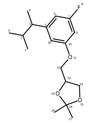 CC(C)C(C)c1cc(F)cc(OCC2COC(C)(C)O2)c1